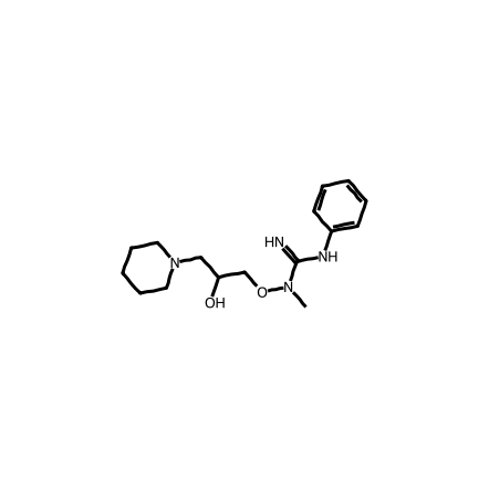 CN(OCC(O)CN1CCCCC1)C(=N)Nc1ccccc1